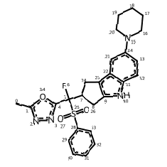 Cc1nnc(C(F)(C2Cc3[nH]c4ccc(N5CCCCC5)cc4c3C2)S(=O)(=O)c2ccccc2)o1